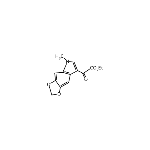 CCOC(=O)C(=O)c1cn(C)c2cc3c(cc12)OCO3